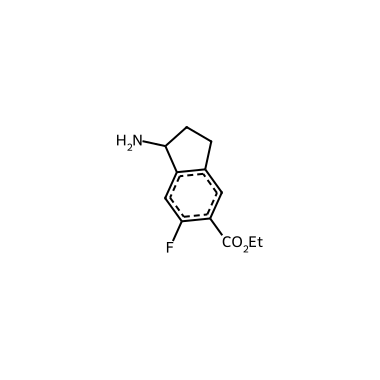 CCOC(=O)c1cc2c(cc1F)C(N)CC2